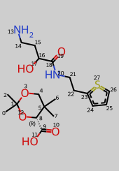 CC1(C)OCC(C)(C)[C@H](C(=O)O)O1.NCCC(O)C(=O)NCCc1cccs1